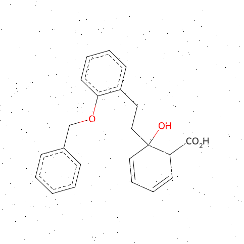 O=C(O)C1C=CC=CC1(O)CCc1ccccc1OCc1ccccc1